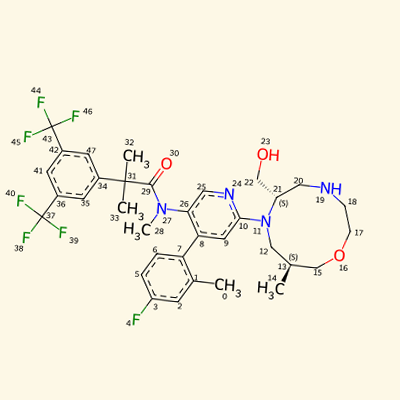 Cc1cc(F)ccc1-c1cc(N2C[C@H](C)COCCNC[C@H]2CO)ncc1N(C)C(=O)C(C)(C)c1cc(C(F)(F)F)cc(C(F)(F)F)c1